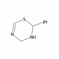 CC(C)C1NCN=CS1